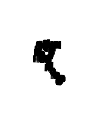 Cc1c(Cl)c2c(Cl)c(C)c1-c1c(C3=CCCC3)sc3ncnc(c13)O[C@@H](C(=O)O)Cc1cc(ccc1OCc1ccnc(C3CCC(F)(COC[C@@H]4COCCO4)CC3)n1)OC[C@@H](CN1CCN(C)CC1)O2